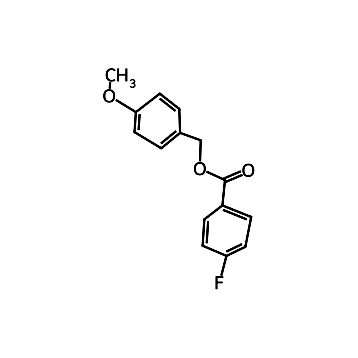 COc1ccc(COC(=O)c2ccc(F)cc2)cc1